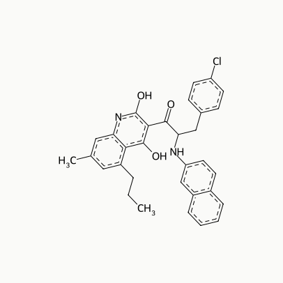 CCCc1cc(C)cc2nc(O)c(C(=O)C(Cc3ccc(Cl)cc3)Nc3ccc4ccccc4c3)c(O)c12